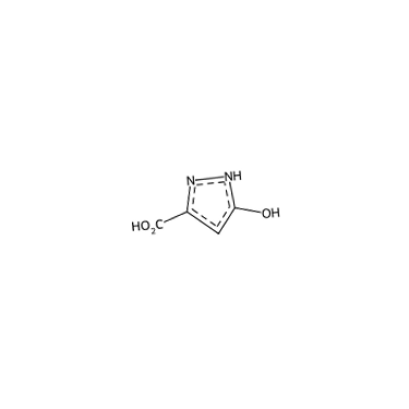 O=C(O)c1cc(O)[nH]n1